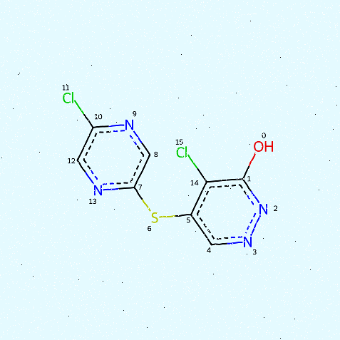 Oc1nncc(Sc2cnc(Cl)cn2)c1Cl